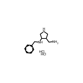 Cl.Cl.NCC1CNCC1NCc1ccccc1